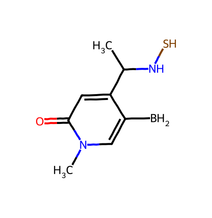 Bc1cn(C)c(=O)cc1C(C)NS